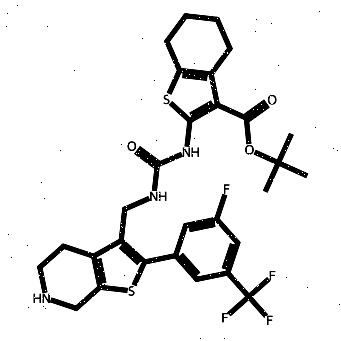 CC(C)(C)OC(=O)c1c(NC(=O)NCc2c(-c3cc(F)cc(C(F)(F)F)c3)sc3c2CCNC3)sc2c1CCCC2